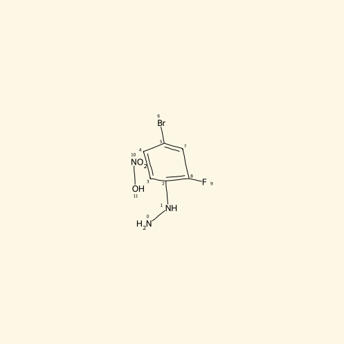 NNc1ccc(Br)cc1F.O=[N+]([O-])O